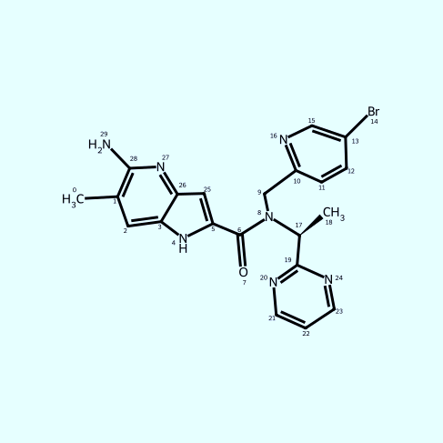 Cc1cc2[nH]c(C(=O)N(Cc3ccc(Br)cn3)[C@@H](C)c3ncccn3)cc2nc1N